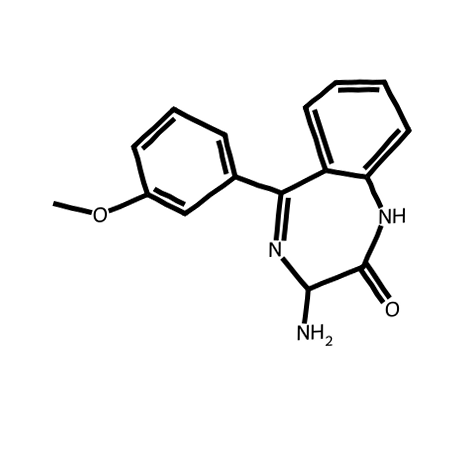 COc1cccc(C2=NC(N)C(=O)Nc3ccccc32)c1